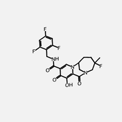 CC1(F)CCC2CN(C1)C(=O)c1c(O)c(=O)c(C(=O)NCc3c(F)cc(F)cc3F)cn12